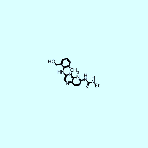 CCNC(=S)Nc1ccc2ncc(Nc3c(C)cccc3CO)nc2n1